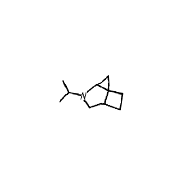 CC(C)N1CC2CCC23CC13